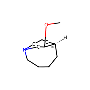 COC1CN2CCCC[C@@H]1CCC2